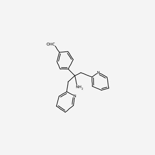 NC(Cc1ccccn1)(Cc1ccccn1)c1ccc([C]=O)cc1